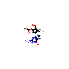 C=C1[C@H](CO)[C@@H](OC(=O)C(C)C)C[C@@H]1n1cnc2c(=O)[nH]c(N)nc21